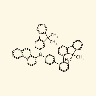 CC1(C)c2ccccc2-c2ccc(N(c3ccc(-c4ccccc4-c4cccc5c4C(C)(C)c4ccccc4-5)cc3)c3cccc4c3ccc3ccccc34)cc21